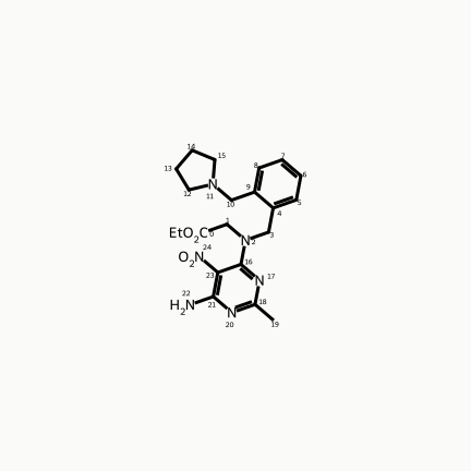 CCOC(=O)CN(Cc1ccccc1CN1CCCC1)c1nc(C)nc(N)c1[N+](=O)[O-]